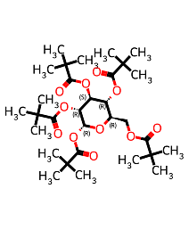 CC(C)(C)C(=O)OC[C@H]1O[C@H](OC(=O)C(C)(C)C)[C@H](OC(=O)C(C)(C)C)[C@@H](OC(=O)C(C)(C)C)[C@@H]1OC(=O)C(C)(C)C